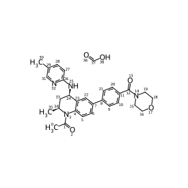 CC(=O)N1c2ccc(-c3ccc(C(=O)N4CCOCC4)cc3)cc2[C@H](Nc2ccc(C)cn2)C[C@@H]1C.O=CO